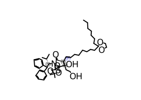 CCCCCCCC1(CCCCCC/C=C/[C@H](C(=O)N2C(=S)OC(c3ccccc3)(c3ccccc3)[C@@H]2C(C)C)[C@@](O)(CCO)C(=O)OC(C)(C)C)OCCO1